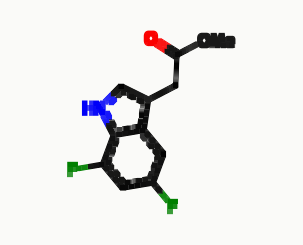 COC(=O)Cc1c[nH]c2c(F)cc(F)cc12